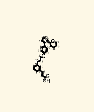 O=C(O)/C=C/c1cccc(CCCOc2ccc(-c3ccnn3C3CCCCO3)nc2)c1